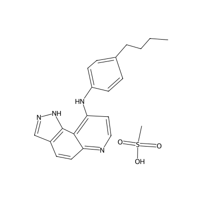 CCCCc1ccc(Nc2ccnc3ccc4cn[nH]c4c23)cc1.CS(=O)(=O)O